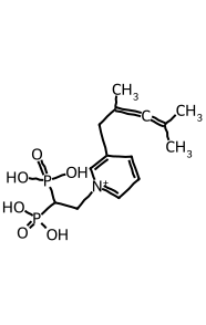 CC(C)=C=C(C)Cc1ccc[n+](CC(P(=O)(O)O)P(=O)(O)O)c1